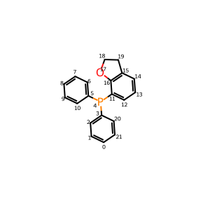 c1ccc(P(c2ccccc2)c2cccc3c2OCC3)cc1